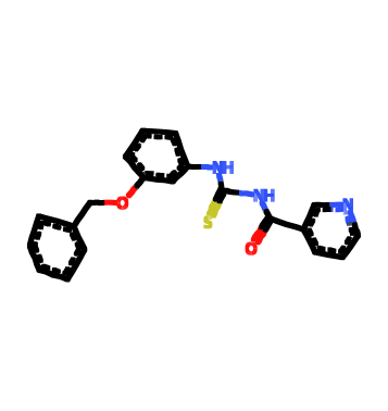 O=C(NC(=S)Nc1cccc(OCc2ccccc2)c1)c1cccnc1